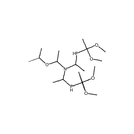 COC(C)(OC)PC(C)N(C(C)OC(C)C)C(C)PC(C)(OC)OC